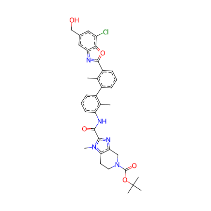 Cc1c(NC(=O)c2nc3c(n2C)CCN(C(=O)OC(C)(C)C)C3)cccc1-c1cccc(-c2nc3cc(CO)cc(Cl)c3o2)c1C